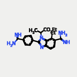 CCOC(=O)C(C)n1c(-c2ccc(C(=N)N)cc2)nc2ccc(C(=N)N)c(CC)c21